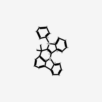 CC1(C)c2cccc3c4ccccc4n(c23)-c2c1n(-c1ccccc1)c1ccccc21